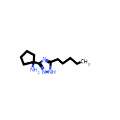 CCCCCc1nc(C2(N)CCCC2)n[nH]1